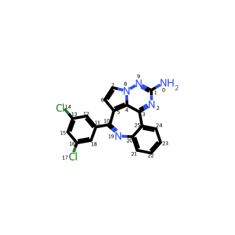 Nc1nc2c3c(ccn3n1)C(c1cc(Cl)cc(Cl)c1)=Nc1ccccc1-2